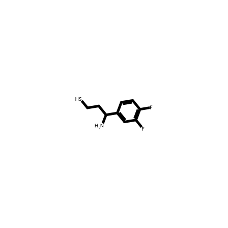 NC(CCS)c1ccc(F)c(F)c1